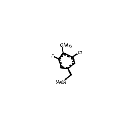 CNCc1cc(F)c(OC)c(Cl)c1